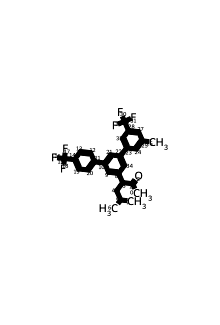 CC(=O)C(CC(C)C)c1cc(-c2ccc(C(F)(F)F)cc2)cc(-c2cc(C)cc(C(F)(F)F)c2)c1